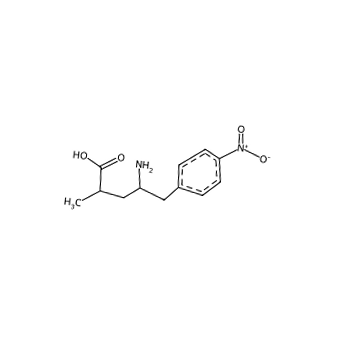 CC(CC(N)Cc1ccc([N+](=O)[O-])cc1)C(=O)O